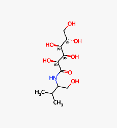 CC(C)C(CO)NC(=O)[C@@H](O)[C@H](O)[C@@H](O)[C@@H](O)CO